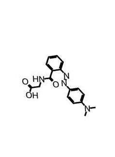 CN(C)c1ccc(/N=N/c2ccccc2C(=O)NCC(=O)O)cc1